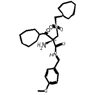 COc1ccc(CNC(=O)[C@@](N)(CS(=O)(=O)CC2CCCCC2)C(=O)C2CCCCCC2)cc1